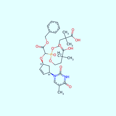 Cc1cn([C@H]2C=C[C@@H](OC(C(=O)OCc3ccccc3)P(=O)(OCCC(C)(C)C(=O)O)OCCC(C)(C)C(=O)O)C2)c(=O)[nH]c1=O